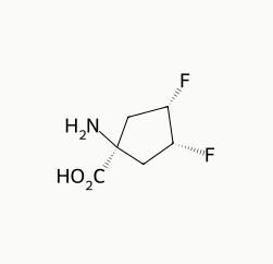 N[C@]1(C(=O)O)C[C@@H](F)[C@@H](F)C1